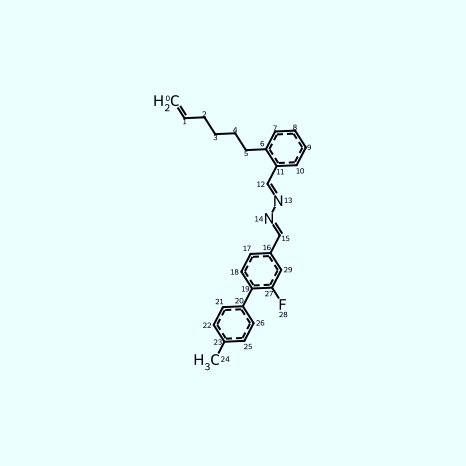 C=CCCCCc1ccccc1C=NN=Cc1ccc(-c2ccc(C)cc2)c(F)c1